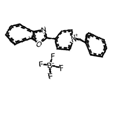 F[B-](F)(F)F.c1ccc(-[n+]2ccc(-c3nc4ccccc4o3)cc2)cc1